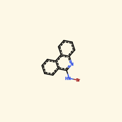 BrNc1nc2ccccc2c2ccccc12